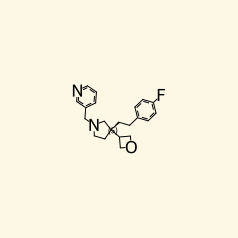 Fc1ccc(CC[C@@]2(C3COC3)CCN(Cc3cccnc3)C2)cc1